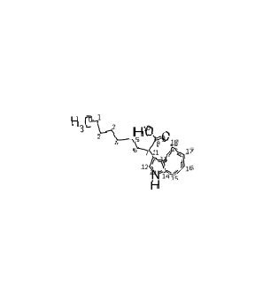 CCCCCCCC(C(=O)O)c1c[nH]c2ccccc12